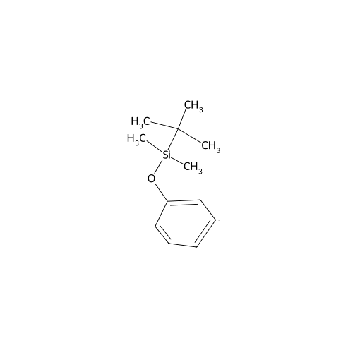 CC(C)(C)[Si](C)(C)Oc1c[c]ccc1